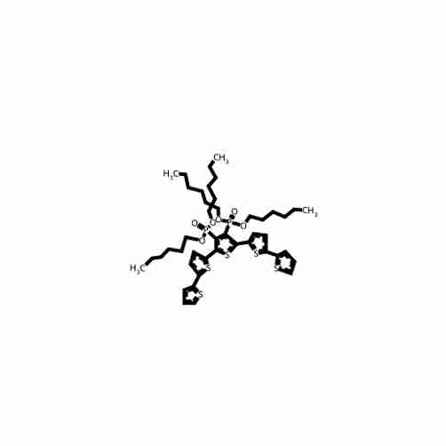 CCCCCCOP(=O)(OCCCCCC)c1c(-c2ccc(-c3cccs3)s2)sc(-c2ccc(-c3cccs3)s2)c1P(=O)(OCCCCCC)OCCCCCC